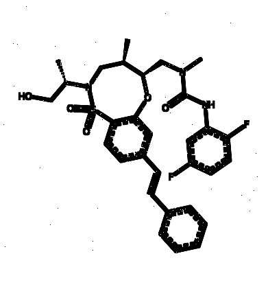 C[C@@H]1CN([C@@H](C)CO)S(=O)(=O)c2ccc(C=Cc3ccccc3)cc2O[C@@H]1CN(C)C(=O)Nc1cc(F)ccc1F